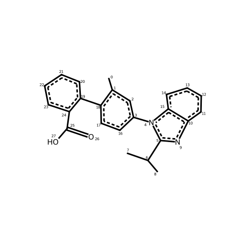 Cc1cc(-n2c(C(C)C)nc3ccccc32)ccc1-c1ccccc1C(=O)O